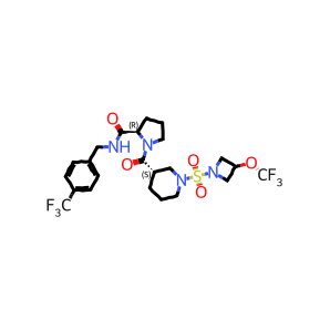 O=C(NCc1ccc(C(F)(F)F)cc1)[C@H]1CCCN1C(=O)[C@H]1CCCN(S(=O)(=O)N2CC(OC(F)(F)F)C2)C1